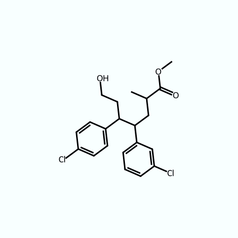 COC(=O)C(C)CC(c1cccc(Cl)c1)C(CCO)c1ccc(Cl)cc1